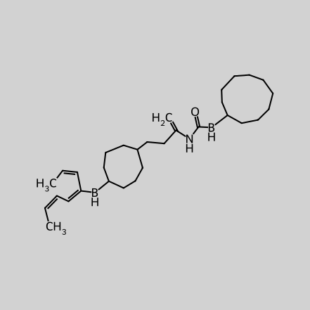 C=C(CCC1CCCC(BC(/C=C\C)=C/C=C\C)CCC1)NC(=O)BC1CCCCCCCCC1